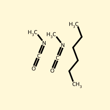 CCCCCC.CN=C=O.CN=C=O